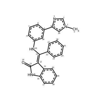 Cn1cnc(-c2cccc(N/C(=C3\C(=O)Nc4ccccc43)c3ccccc3)c2)c1